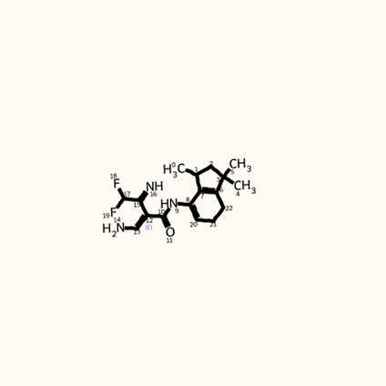 CC1CC(C)(C)C2=C1C(NC(=O)/C(=C/N)C(=N)C(F)F)=CCC2